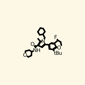 Cc1c(C(=O)NC2CCOCC2)cc(-c2cc3c(c(C(C)(C)C)c2)OCCC3F)n1CC1CCCCC1